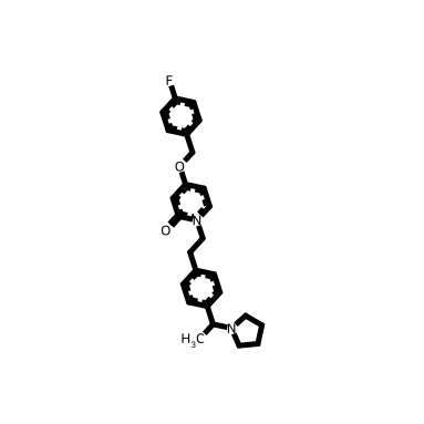 CC(c1ccc(CCn2ccc(OCc3ccc(F)cc3)cc2=O)cc1)N1CCCC1